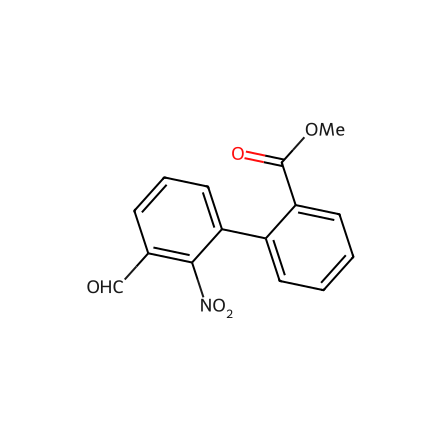 COC(=O)c1ccccc1-c1cccc(C=O)c1[N+](=O)[O-]